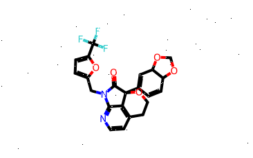 O=C1N(Cc2ccc(C(F)(F)F)o2)c2nccc3c2C1(C1=CC2OCOC2C=C1)OCC3